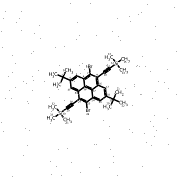 CC(C)(C)c1cc2c(Br)c(C#C[Si](C)(C)C)c3cc(C(C)(C)C)cc4c(Br)c(C#C[Si](C)(C)C)c(c1)c2c43